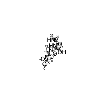 C#CC[C@]1(C(=O)OC)COC([C@@H]2CCCN2C(=O)[C@@H](NC(=O)[C@H](C)NC)[C@@H](C)O)=N1